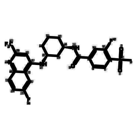 CS(=O)(=O)c1ccc(C(=O)N[C@@H]2CCC[C@H](Nc3cc(C(F)(F)F)nc4ccc(F)cc34)C2)cc1F